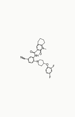 Cn1c2c(cc(C(=O)Nc3cc(C#N)ccc3N3CCC(Oc4ccc(F)cc4F)CC3)c1=O)CCCC2